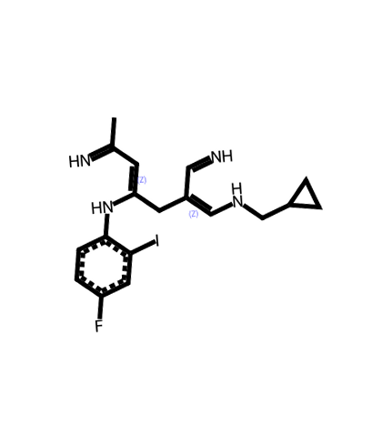 CC(=N)/C=C(/C/C(C=N)=C/NCC1CC1)Nc1ccc(F)cc1I